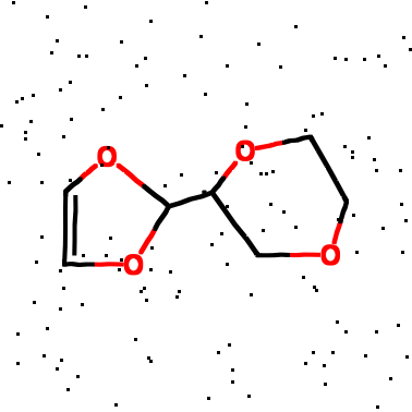 C1=COC([C]2COCCO2)O1